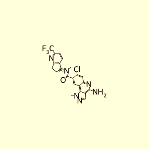 CN(C(=O)c1cc2c(cc1Cl)nc(N)c1cnn(C)c12)[C@@H]1CCc2nc(C(F)(F)F)ccc21